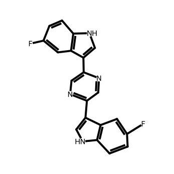 Fc1ccc2[nH]cc(-c3cnc(-c4c[nH]c5ccc(F)cc45)cn3)c2c1